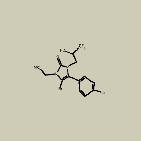 N#CCn1c(Br)c(-c2ccc(Cl)cc2)n(CC(O)C(F)(F)F)c1=O